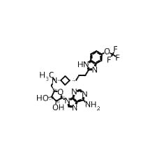 CN(C[C@H]1O[C@@H](n2cnc3c(N)ncnc32)[C@H](O)[C@@H]1O)[C@H]1C[C@@H](CCCc2nc3cc(OC(F)(F)F)ccc3[nH]2)C1